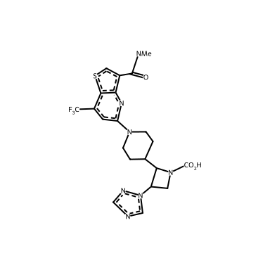 CNC(=O)c1csc2c(C(F)(F)F)cc(N3CCC(C4C(n5cncn5)CN4C(=O)O)CC3)nc12